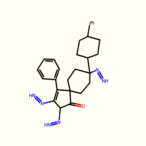 CC(C)C1CCC(C2(N=N)CCC3(CC2)C(=O)C(N=N)C(N=N)=C3c2ccccc2)CC1